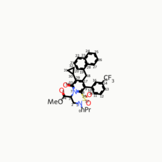 CCCN1CC(C(=O)OC)n2c(c(-c3cccc(C(F)(F)F)c3)c(Cc3cccc4ccccc34)c(C3CC3)c2=O)S1(=O)=O